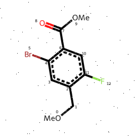 COCc1cc(Br)c(C(=O)OC)cc1F